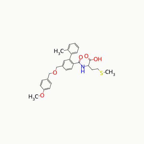 COc1ccc(COCc2ccc(C(=O)NC(CCSC)C(=O)O)c(-c3ccccc3C)c2)cc1